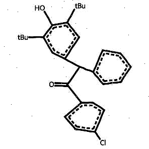 CC(C)(C)c1cc(C(C(=O)c2ccc(Cl)cc2)c2ccccc2)cc(C(C)(C)C)c1O